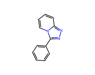 [c]1ccc2nnc(-c3ccccc3)n2c1